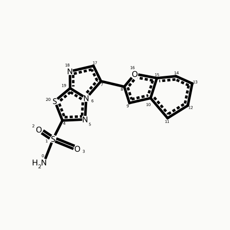 NS(=O)(=O)c1nn2c(-c3cc4ccccc4o3)cnc2s1